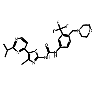 Cc1nc(NC(=O)Nc2ccc(CN3CCOCC3)c(C(F)(F)F)c2)sc1-c1ccnc(C(C)C)n1